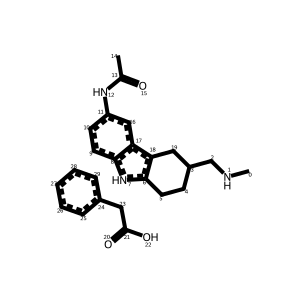 CNCC1CCc2[nH]c3ccc(NC(C)=O)cc3c2C1.O=C(O)Cc1ccccc1